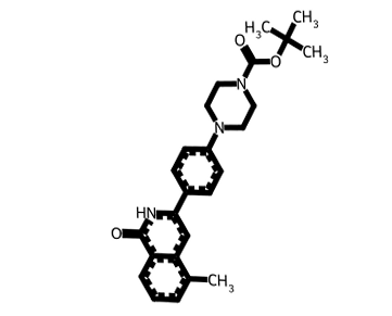 Cc1cccc2c(=O)[nH]c(-c3ccc(N4CCN(C(=O)OC(C)(C)C)CC4)cc3)cc12